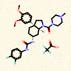 COc1ccc([C@@]23CC[C@@H](NC(=O)Nc4ccc(F)c(F)c4)C[C@@H]2N(C(=O)N2CCN(C)CC2)CC3)cc1OC.O=C(O)C(F)(F)F